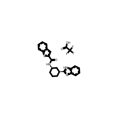 O=C(N[C@@H]1CCC[C@H](c2nc3ccccc3[nH]2)C1)c1cc2ccccc2s1.O=C(O)C(F)(F)F